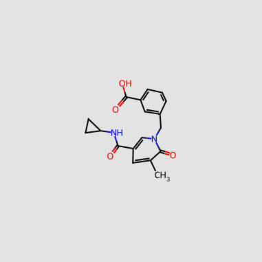 Cc1cc(C(=O)NC2CC2)cn(Cc2cccc(C(=O)O)c2)c1=O